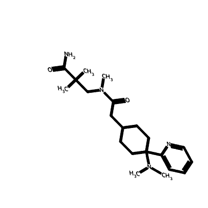 CN(CC(C)(C)C(N)=O)C(=O)CC1CCC(c2ccccn2)(N(C)C)CC1